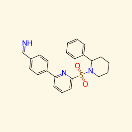 N=Cc1ccc(-c2cccc(S(=O)(=O)N3CCCCC3c3ccccc3)n2)cc1